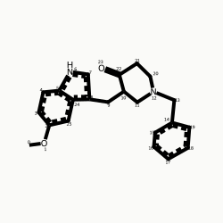 COc1ccc2[nH]cc(CC3CN(Cc4ccccc4)CCC3=O)c2c1